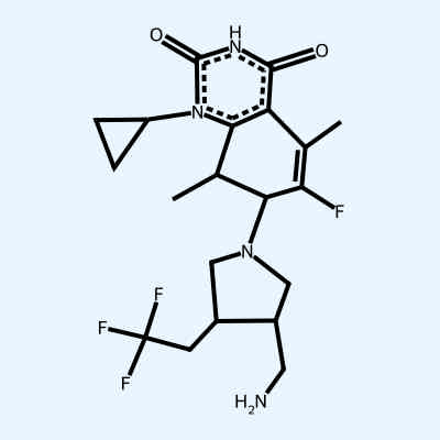 CC1=C(F)C(N2CC(CN)C(CC(F)(F)F)C2)C(C)c2c1c(=O)[nH]c(=O)n2C1CC1